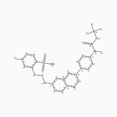 Cc1ccc(S(=O)(=O)O)c(CCOc2ccc3ncc(-c4ccc(N(C)C(=O)OC(C)(C)C)cc4)nc3c2)c1